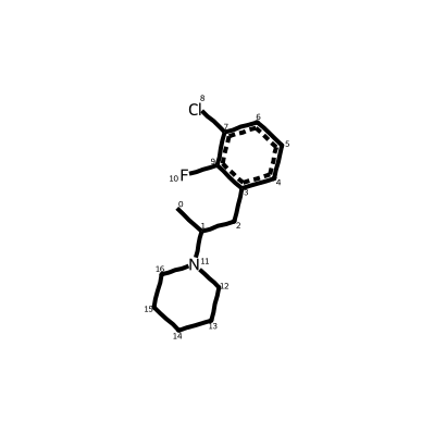 CC(Cc1cccc(Cl)c1F)N1CCCCC1